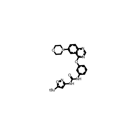 CC(C)(C)c1cc(NC(=O)Nc2cccc(Oc3ncnc4ccc(N5CCOCC5)cc34)c2)no1